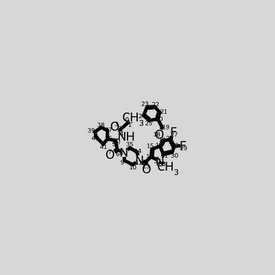 C[CH]C(=O)N[C@H](C(=O)N1CCN(C(=O)c2cc3c(OCc4ccccc4)c(F)c(F)cc3n2C)CC1)C1CCCCC1